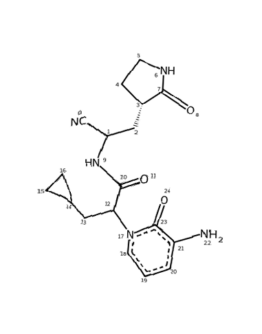 N#CC(C[C@@H]1CCNC1=O)NC(=O)C(CC1CC1)n1cccc(N)c1=O